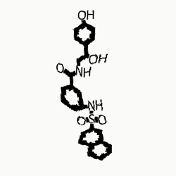 O=C(NCC(O)c1ccc(O)cc1)c1cccc(NS(=O)(=O)c2ccc3ccccc3c2)c1